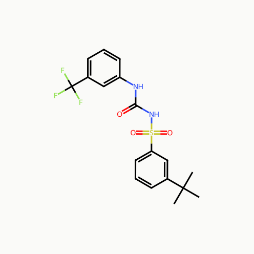 CC(C)(C)c1cccc(S(=O)(=O)NC(=O)Nc2cccc(C(F)(F)F)c2)c1